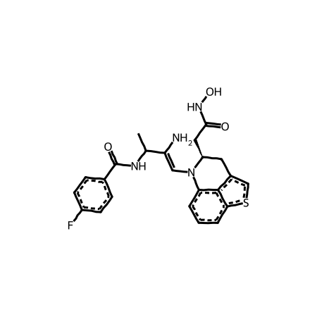 CC(NC(=O)c1ccc(F)cc1)/C(N)=C/N1c2cccc3scc(c23)C[C@@H]1CC(=O)NO